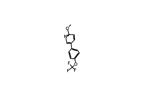 COc1ccc(-c2ccc(OC(F)(F)F)cc2)cn1